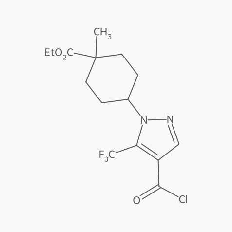 CCOC(=O)C1(C)CCC(n2ncc(C(=O)Cl)c2C(F)(F)F)CC1